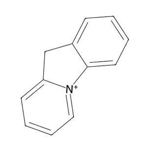 c1ccc2c(c1)Cc1cccc[n+]1-2